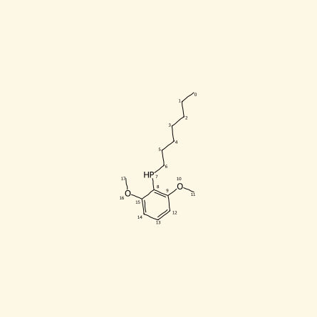 CCCCCCCPc1c(OC)cccc1OC